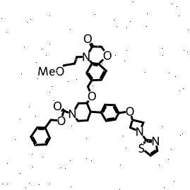 COCCCN1C(=O)COc2ccc(COC3CN(C(=O)OCc4ccccc4)CCC3c3ccc(OC4CN(c5nccs5)C4)cc3)cc21